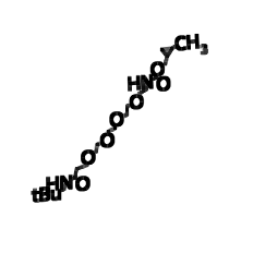 CC1=CC1COC(=O)NCCOCCOCCOCCOCCC(=O)NCC(C)(C)C